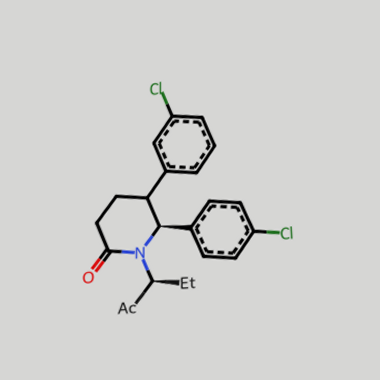 CC[C@@H](C(C)=O)N1C(=O)CCC(c2cccc(Cl)c2)[C@H]1c1ccc(Cl)cc1